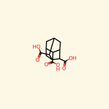 O=C(O)C1C2CC3CC1C(C(=O)O)C(C2)C3C(=O)O